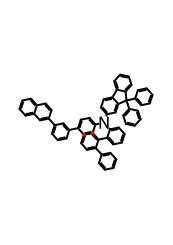 c1ccc(-c2ccccc2-c2ccccc2N(c2ccc(-c3cccc(-c4ccc5ccccc5c4)c3)cc2)c2ccc3c(c2)C(c2ccccc2)(c2ccccc2)c2ccccc2-3)cc1